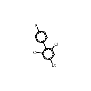 CCc1cc(Cl)c(-c2ccc(F)cc2)c(Cl)c1